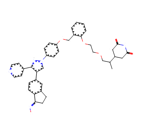 CC(COCCOc1ccccc1COc1ccc(-n2cc(-c3ccc4c(c3)CC/C4=N\O)c(-c3ccncc3)n2)cc1)C1CC(=O)NC(=O)C1